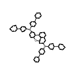 c1ccc(-c2ccc(N(c3ccc(-c4ccccc4)cc3)c3ccc4c(c3)-c3cccc5cc(N(c6ccc(-c7ccccc7)cc6)c6ccc(-c7ccccc7)cc6)cc(c35)O4)cc2)cc1